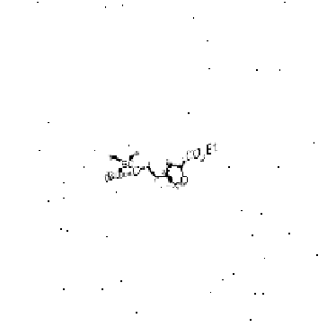 CCOC(=O)C1CC(CCO[Si](C)(C)C(C)(C)C)=NO1